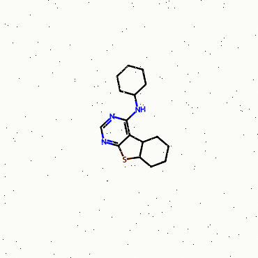 c1nc(NC2CCCCC2)c2c(n1)SC1CCCCC21